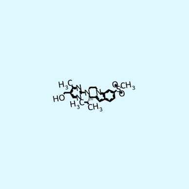 Cc1nc(N2CCn3c(cc4ccc(S(C)(=O)=O)cc43)[C@@H]2C(C)C)ncc1CO